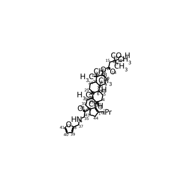 CC(C)C1=C2[C@H]3CC[C@@H]4[C@@]5(C)CC[C@H](OC(=O)CC(C)(C)C(=O)O)C(C)(C)C5CC[C@@]4(C)[C@]3(C)CC[C@@]2(C(=O)CNCc2ccco2)CC1